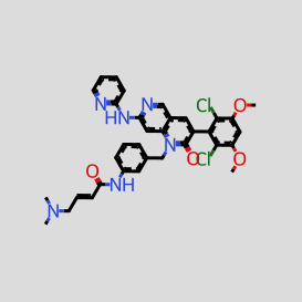 COc1cc(OC)c(Cl)c(-c2cc3cnc(Nc4ccccn4)cc3n(Cc3cccc(NC(=O)/C=C/CN(C)C)c3)c2=O)c1Cl